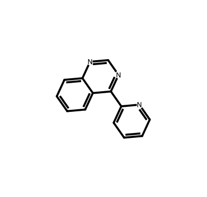 c1ccc(-c2ncnc3ccccc23)nc1